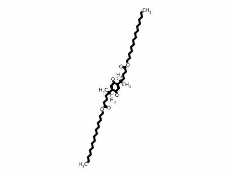 CCCCCCCCCCCCCCCCOC(=O)CCCC(C)(C)C1=CC(=O)C(C(C)(C)CCCC(=O)OCCCCCCCCCCCCCCCC)=CC1=O